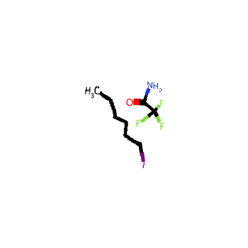 CCCCCCI.NC(=O)C(F)(F)F